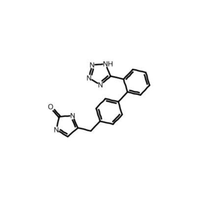 O=C1N=CC(Cc2ccc(-c3ccccc3-c3nnn[nH]3)cc2)=N1